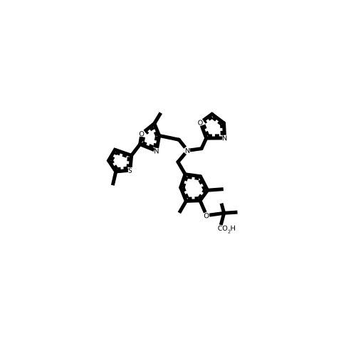 Cc1ccc(-c2nc(CN(Cc3cc(C)c(OC(C)(C)C(=O)O)c(C)c3)Cc3ncco3)c(C)o2)s1